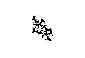 CCO[Si](C)(OCC)C(CC)SSC(CC)[Si](C)(OCC)OCC